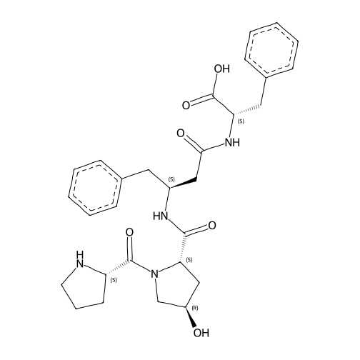 O=C(C[C@H](Cc1ccccc1)NC(=O)[C@@H]1C[C@@H](O)CN1C(=O)[C@@H]1CCCN1)N[C@@H](Cc1ccccc1)C(=O)O